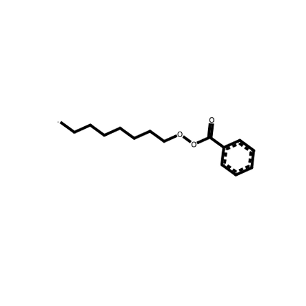 [CH2]CCCCCCCOOC(=O)c1ccccc1